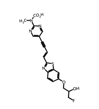 CN(C(=O)O)c1ncc(C#CC=Cc2nc3ccc(OCC(O)CF)cc3s2)cn1